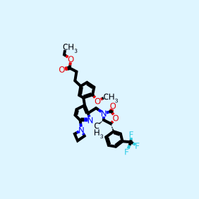 CCOC(=O)CCc1ccc(OC)c(-c2ccc(N3CCC3)nc2CN2C(=O)O[C@H](c3cccc(C(F)(F)F)c3)[C@@H]2C)c1